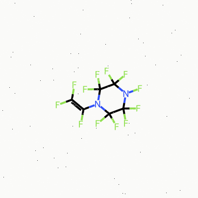 FC(F)=C(F)N1C(F)(F)C(F)(F)N(F)C(F)(F)C1(F)F